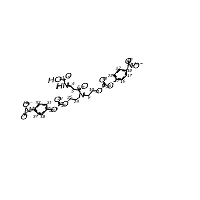 O=C(O)NCCC(=O)N(CCOC(=O)Oc1ccc([N+](=O)[O-])cc1)CCOC(=O)Oc1ccc([N+](=O)[O-])cc1